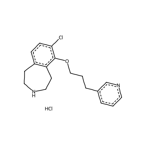 Cl.Clc1ccc2c(c1OCCCc1cccnc1)CCNCC2